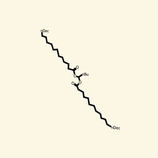 CCCCCCCCCCCCCCCCCCCCCC(=O)OC(CCCC)OC(=O)CCCCCCCCCCCCCCCCCCCCC